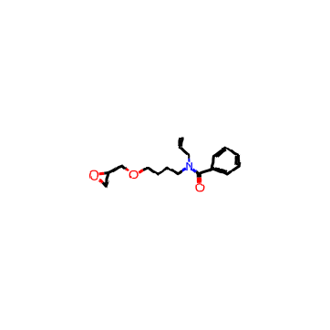 C=CCN(CCCCOCC1CO1)C(=O)c1ccccc1